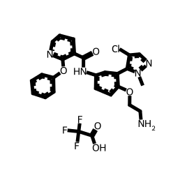 Cn1ncc(Cl)c1-c1cc(NC(=O)c2cccnc2Oc2ccccc2)ccc1OCCN.O=C(O)C(F)(F)F